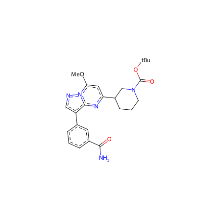 COc1cc(C2CCCN(C(=O)OC(C)(C)C)C2)nc2c(-c3cccc(C(N)=O)c3)cnn12